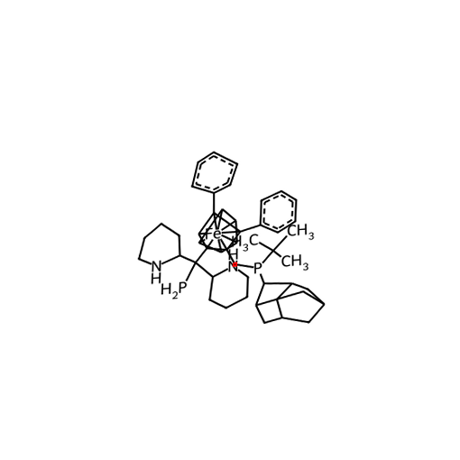 CC(C)(C)P(C[C]12[C]3(c4ccccc4)[C]4(c5ccccc5)[CH]5[C]1(C(P)(C1CCCCN1)C1CCCCN1)[Fe]54231678[CH]2[CH]1[CH]6[CH]7[CH]28)C1C2CC3CC(C2)CC1C3